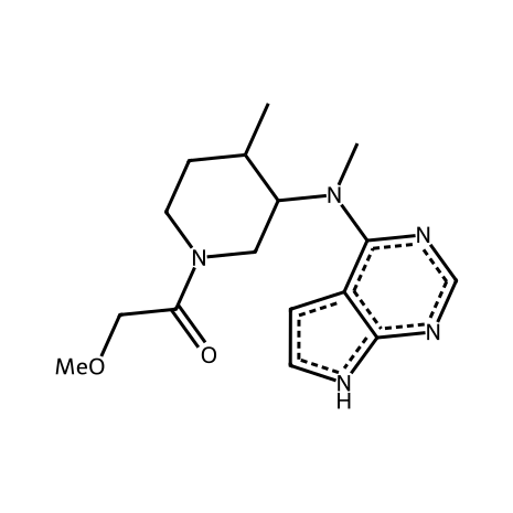 COCC(=O)N1CCC(C)C(N(C)c2ncnc3[nH]ccc23)C1